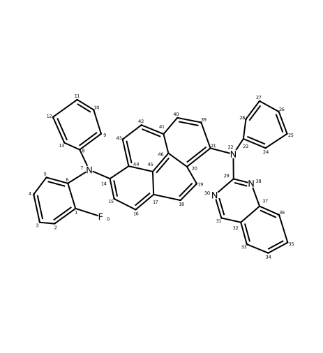 Fc1ccccc1N(c1ccccc1)c1ccc2ccc3c(N(c4ccccc4)c4ncc5ccccc5n4)ccc4ccc1c2c43